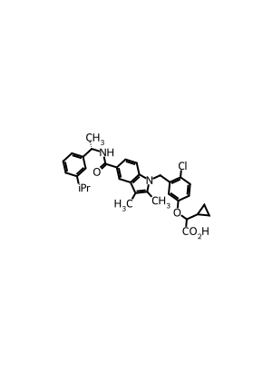 Cc1c(C)n(Cc2cc(OC(C(=O)O)C3CC3)ccc2Cl)c2ccc(C(=O)N[C@@H](C)c3cccc(C(C)C)c3)cc12